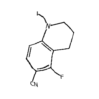 N#Cc1ccc2c(c1F)CCCN2I